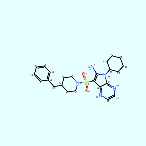 Nc1c(S(=O)(=O)N2CCC(Cc3ccccc3)CC2)c2nccnc2n1C1CCCCC1